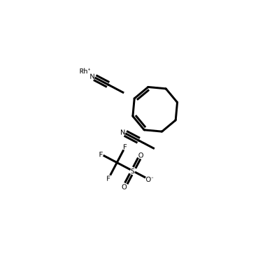 C1=C\CCCC\C=C/1.CC#N.CC#N.O=S(=O)([O-])C(F)(F)F.[Rh+]